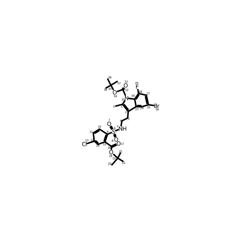 Cc1c(CCNS(=O)(=O)c2ccc(Cl)cc2C(=O)OC(C)(C)C)c2cc(Br)cc(F)c2n1C(=O)OC(C)(C)C